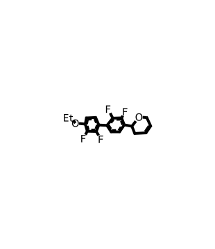 CCOc1ccc(-c2ccc(C3CC=CCO3)c(F)c2F)c(F)c1F